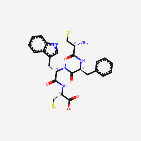 N[C@@H](CS)C(=O)N[C@@H](Cc1ccccc1)C(=O)N[C@@H](Cc1c[nH]c2ccccc12)C(=O)N[C@@H](CS)C(=O)O